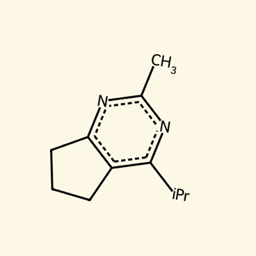 Cc1nc2c(c(C(C)C)n1)CCC2